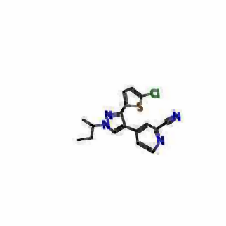 CCC(C)n1cc(-c2ccnc(C#N)c2)c(-c2ccc(Cl)s2)n1